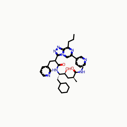 CCCc1nc(-c2cccnc2)cn2c(C(Cc3cccnc3)C(=O)N[C@@H](CC3CCCCC3)[C@@H](O)C[C@H](C)C(=O)NC)nnc12